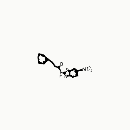 O=C(CCc1ccccc1)Nc1nc2ccc([N+](=O)[O-])cc2s1